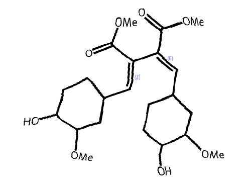 COC(=O)C(=C\C1CCC(O)C(OC)C1)/C(=C\C1CCC(O)C(OC)C1)C(=O)OC